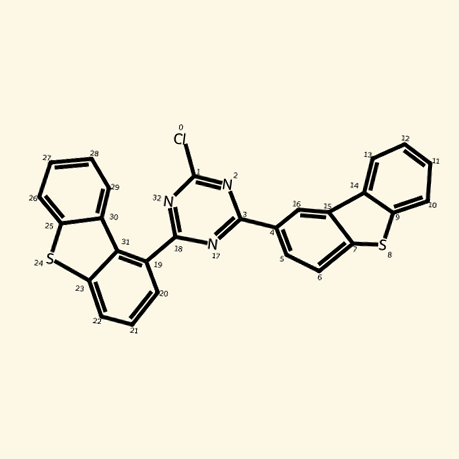 Clc1nc(-c2ccc3sc4ccccc4c3c2)nc(-c2cccc3sc4ccccc4c23)n1